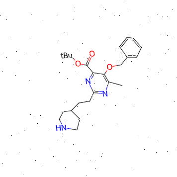 Cc1nc(CCC2CCNCC2)nc(C(=O)OC(C)(C)C)c1OCc1ccccc1